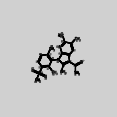 Cc1cc2c(C(N)=O)c(N)n(-c3c(C)ccc(S(C)(=O)=O)c3C)c2nc1C